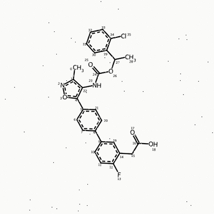 Cc1noc(-c2ccc(-c3ccc(F)c(CC(=O)O)c3)cc2)c1NC(=O)OC(C)c1ccccc1Cl